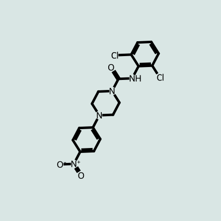 O=C(Nc1c(Cl)cccc1Cl)N1CCN(c2ccc([N+](=O)[O-])cc2)CC1